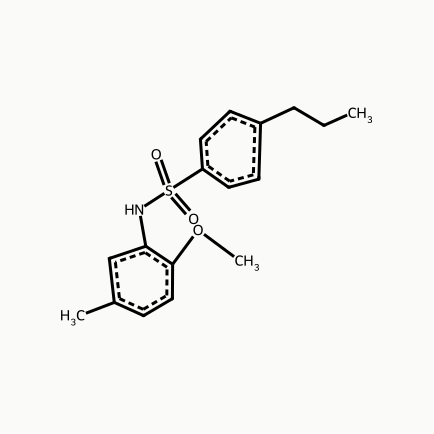 CCCc1ccc(S(=O)(=O)Nc2cc(C)ccc2OC)cc1